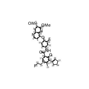 COc1cc2nccc(Oc3ccc(NC(=O)c4cn(CCF)c(C)c(C5=CCCC5)c4=O)cc3F)c2nc1OC